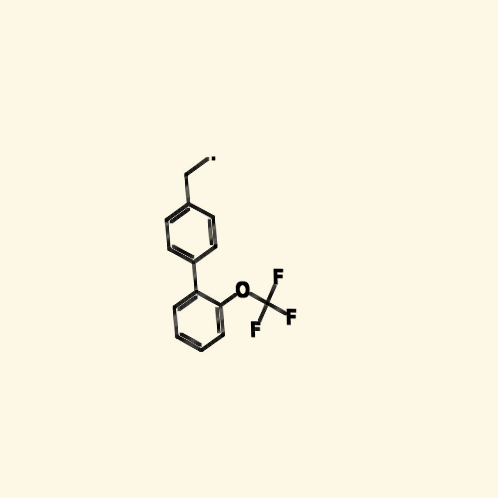 [CH2]Cc1ccc(-c2ccccc2OC(F)(F)F)cc1